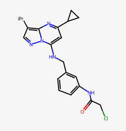 CC(C)c1cnn2c(NCc3cccc(NC(=O)CCl)c3)cc(C3CC3)nc12